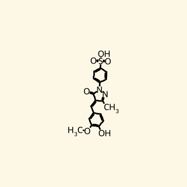 COc1cc(C=C2C(=O)N(c3ccc(S(=O)(=O)O)cc3)N=C2C)ccc1O